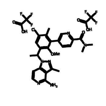 COc1c(C(C)n2nc(C)c3c(N)nccc32)cc(Cl)c(C)c1-c1ccc(C(=O)N(C)C)nc1.O=C(O)C(F)(F)F.O=C(O)C(F)(F)F